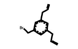 C=CCc1cc(CBr)cc(CC=C)c1